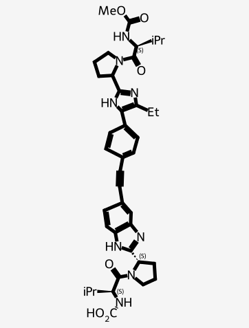 CCc1nc(C2CCCN2C(=O)[C@@H](NC(=O)OC)C(C)C)[nH]c1-c1ccc(C#Cc2ccc3[nH]c([C@@H]4CCCN4C(=O)[C@@H](NC(=O)O)C(C)C)nc3c2)cc1